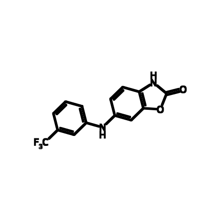 O=c1[nH]c2ccc(Nc3cccc(C(F)(F)F)c3)cc2o1